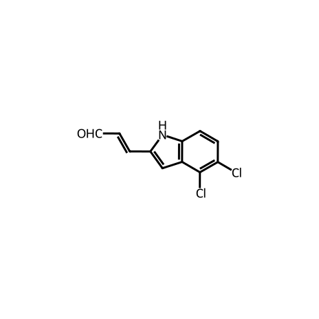 O=CC=Cc1cc2c(Cl)c(Cl)ccc2[nH]1